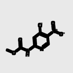 COC(=O)Nc1cc(Cl)c([N+](=O)[O-])cn1